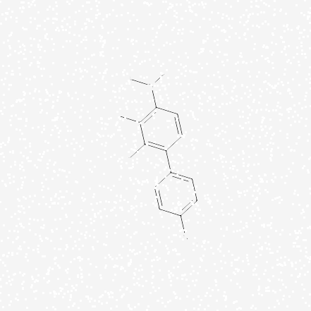 Nc1ccc(-c2ccc(N(Cl)Cl)c(Cl)c2Cl)cc1